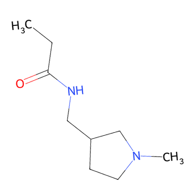 CCC(=O)NCC1CCN(C)C1